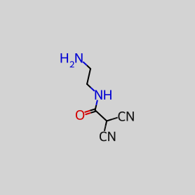 N#CC(C#N)C(=O)NCCN